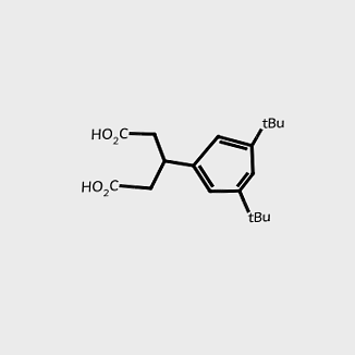 CC(C)(C)c1cc(C(CC(=O)O)CC(=O)O)cc(C(C)(C)C)c1